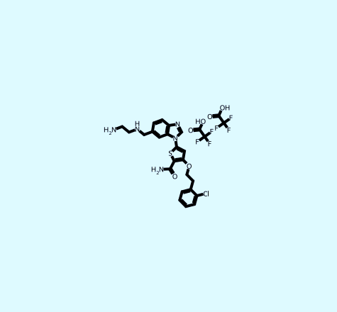 NCCNCc1ccc2ncn(-c3cc(OCCc4ccccc4Cl)c(C(N)=O)s3)c2c1.O=C(O)C(F)(F)F.O=C(O)C(F)(F)F